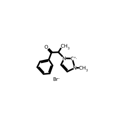 CC(C(=O)c1ccccc1)N1[C+]N(C)C=C1.[Br-]